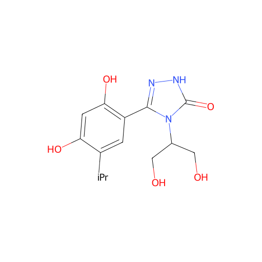 CC(C)c1cc(-c2n[nH]c(=O)n2C(CO)CO)c(O)cc1O